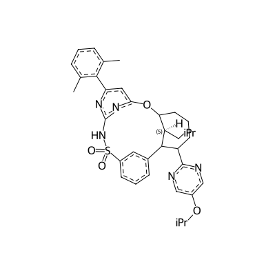 Cc1cccc(C)c1-c1cc2nc(n1)NS(=O)(=O)c1cccc(c1)C1C(c3ncc(OC(C)C)cn3)CCCC(O2)[C@H]1CC(C)C